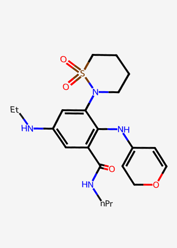 CCCNC(=O)c1cc(NCC)cc(N2CCCCS2(=O)=O)c1NC1=CCOC=C1